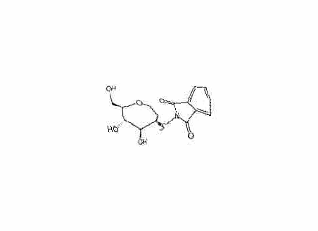 O=C1c2ccccc2C(=O)N1S[C@@H]1CO[C@H](CO)[C@@H](O)[C@@H]1O